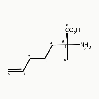 C=CCCC[C@@](C)(N)C(=O)O